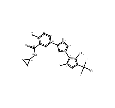 Cn1nc(C(F)(F)C(F)(F)F)c(C(F)(F)F)c1-c1cc(-c2ccc(Cl)c(C(=O)NC3CC3)c2)[nH]n1